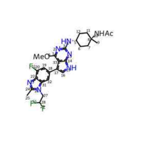 COc1nc(N[C@H]2CC[C@](C)(NC(C)=O)CC2)nc2[nH]cc(-c3cc(F)c4nc(C)n(CC(F)F)c4c3)c12